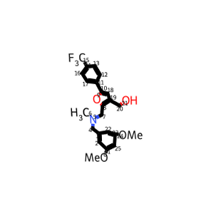 COc1cc(CN(C)Cc2oc(-c3ccc(C(F)(F)F)cc3)cc2CO)cc(OC)c1